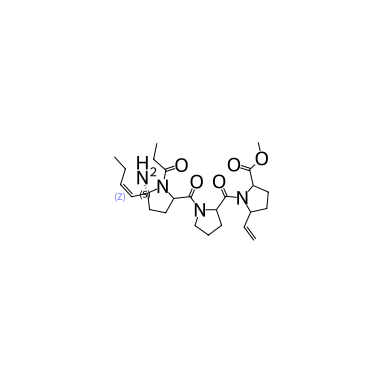 C=CC1CCC(C(=O)OC)N1C(=O)C1CCCN1C(=O)C1CC[C@@](N)(/C=C\CC)N1C(=O)CC